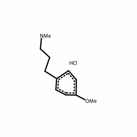 CNCCCc1ccc(OC)cc1.Cl